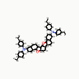 CCc1ccc(N(c2ccc(CC)cc2)c2ccc3c(ccc4c5ccc6oc7c8ccc(N(c9ccc(CC)cc9)c9ccc(CC)cc9)cc8ccc7c6c5oc34)c2)cc1